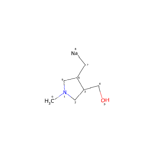 CN1CC(CO)C([CH2][Na])C1